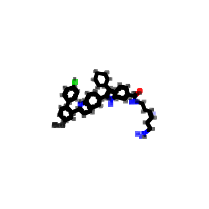 COc1ccc(-c2ccc(Cl)cc2)c(-c2ccc3cc(-c4[nH]c5cc(C(=O)NCC/C=C\CCN)ccc5c4C4CCCCC4)ccc3n2)c1